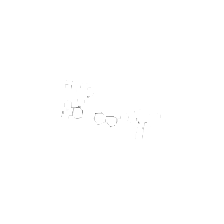 COC(=O)CC(c1ccc2c(c1)OCO2)c1ccc2ccc(OCC(=O)NC3CCCCCC3)cc2c1